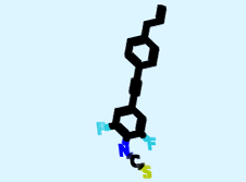 C=CCc1ccc(C#Cc2cc(F)c(N=C=S)c(F)c2)cc1